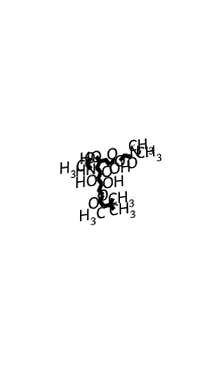 CC(=O)NC1C(O)CC(O)(C(=O)OCC(=O)N(C)C)OC1C(O)C(O)COC(=O)C(C)C(C)C